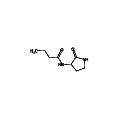 CCCC(=O)NC1CCNC1=O